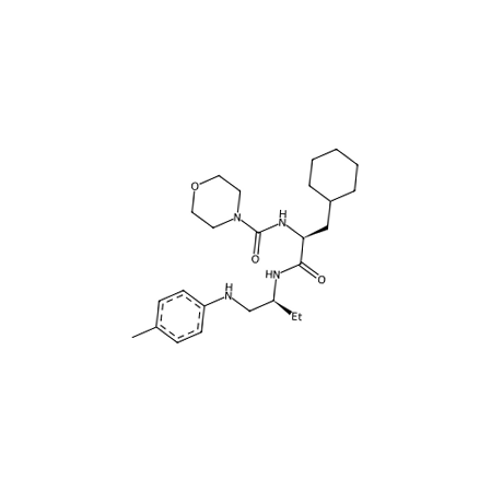 CC[C@@H](CNc1ccc(C)cc1)NC(=O)[C@H](CC1CCCCC1)NC(=O)N1CCOCC1